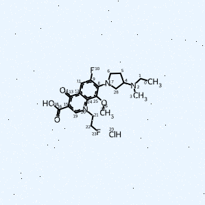 CCN(C)C1CCN(c2c(F)cc3c(=O)c(C(=O)O)cn(CCF)c3c2OC)C1.Cl